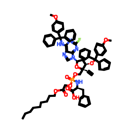 C#C[C@]1(COP(=O)(N[C@@H](Cc2ccccc2)C(=O)O)OCC(=O)OCCCCCCCCC)O[C@@H](n2cnc3c(NC(c4ccccc4)(c4ccccc4)c4ccc(OC)cc4)nc(F)nc32)C[C@@H]1OC(c1ccccc1)(c1ccccc1)c1ccc(OC)cc1